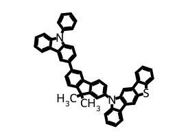 CC1(C)c2ccc(-c3ccc4c(c3)c3ccccc3n4-c3ccccc3)cc2-c2ccc(-n3c4ccccc4c4cc5sc6ccccc6c5cc43)cc21